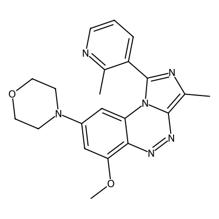 COc1cc(N2CCOCC2)cc2c1nnc1c(C)nc(-c3cccnc3C)n12